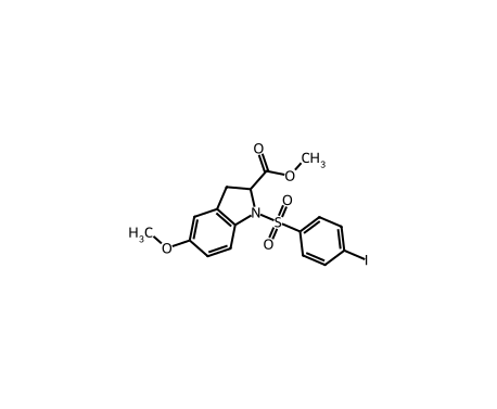 COC(=O)C1Cc2cc(OC)ccc2N1S(=O)(=O)c1ccc(I)cc1